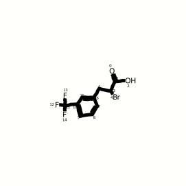 O=C(O)C(Br)Cc1cccc(C(F)(F)F)c1